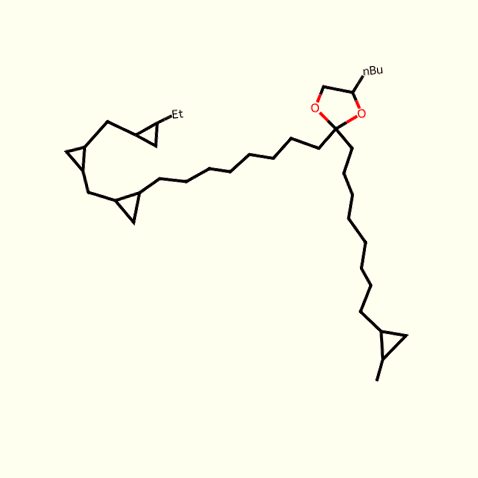 CCCCC1COC(CCCCCCCCC2CC2C)(CCCCCCCCC2CC2CC2CC2CC2CC2CC)O1